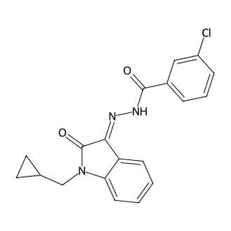 O=C(N/N=C1/C(=O)N(CC2CC2)c2ccccc21)c1cccc(Cl)c1